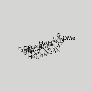 CON(C)C(=O)[C@@]1(C)CC[C@]2(C)CC[C@]3(C)C(=CC(=O)[C@@H]4[C@@]5(C)CC[C@@H](NS(=O)(=O)C(F)(F)F)C(C)(C)C5CC[C@]43C)[C@@H]2C1